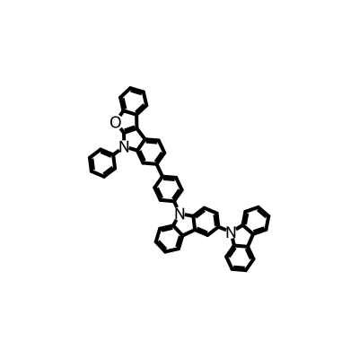 c1ccc(-n2c3cc(-c4ccc(-n5c6ccccc6c6cc(-n7c8ccccc8c8ccccc87)ccc65)cc4)ccc3c3c4ccccc4oc32)cc1